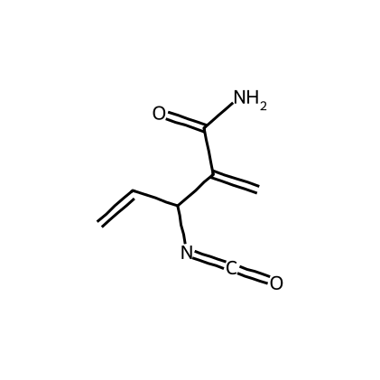 C=CC(N=C=O)C(=C)C(N)=O